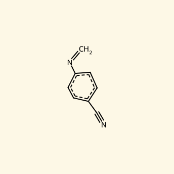 C=Nc1ccc(C#N)cc1